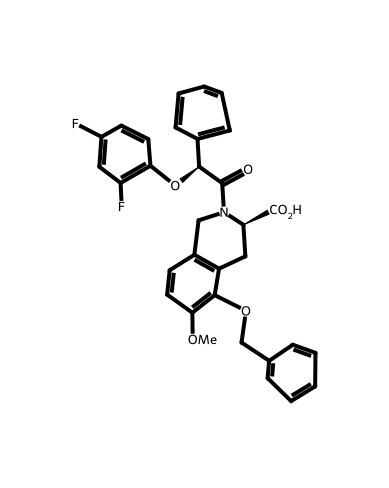 COc1ccc2c(c1OCc1ccccc1)C[C@H](C(=O)O)N(C(=O)[C@@H](Oc1ccc(F)cc1F)c1ccccc1)C2